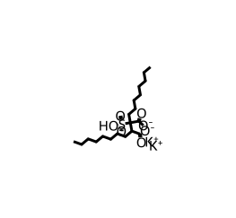 CCCCCCCCC(C(=O)[O-])C(CCCCCCCC)(C(=O)[O-])S(=O)(=O)O.[K+].[K+]